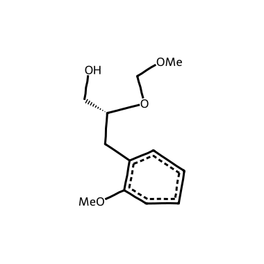 COCO[C@@H](CO)Cc1ccccc1OC